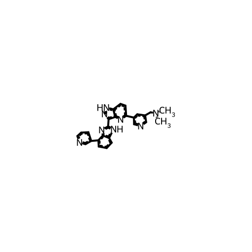 CN(C)Cc1cncc(-c2ccc3[nH]nc(-c4nc5c(-c6cccnc6)cccc5[nH]4)c3n2)c1